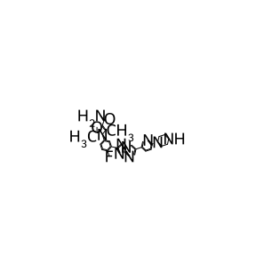 CC1=C(C(N)=O)OC(C)N1c1ccc(F)c(-c2nc3ncc(-c4ccc(N5CCNCC5)nc4)cn3n2)c1